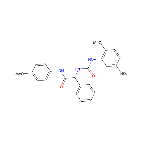 COc1ccc(NC(=O)C(NC(=O)Nc2cc([N+](=O)[O-])ccc2OC)c2ccccc2)cc1